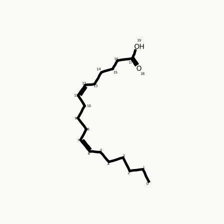 CCCCCC/C=C\CCC/C=C\CCCCC(=O)O